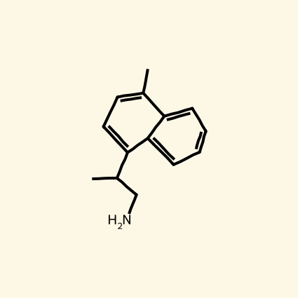 Cc1ccc(C(C)CN)c2ccccc12